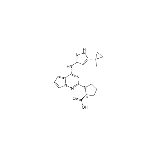 CC1(c2cc(Nc3nc(N4CCC[C@H]4C(=O)O)nn4cccc34)n[nH]2)CC1